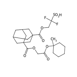 CC1(OC(=O)COC(=O)C23CC4CC(C2)CC(C(=O)OCC(F)(F)S(=O)(=O)O)(C4)C3)CCCCC1